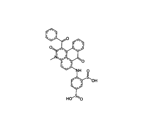 Cn1c(=O)c(C(=O)c2ccccc2)c2c3c(c(Nc4ccc(S(=O)O)cc4S(=O)O)ccc31)C(=O)c1ccccc1-2